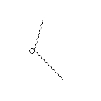 CCCCCCCCCCCCCCCCCc1ccccc1CCCCCCCCCCCCF